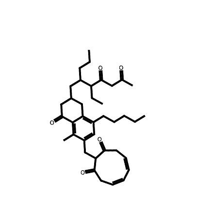 CCCCCc1cc(CC2C(=O)C/C=C\C=C/CC2=O)c(C)c2c1CC(CC(CCC)C(CC)C(=O)CC(C)=O)CC2=O